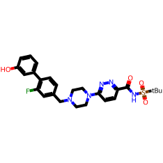 CC(C)(C)S(=O)(=O)NC(=O)c1ccc(N2CCN(Cc3ccc(-c4cccc(O)c4)c(F)c3)CC2)nn1